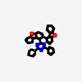 C1=CCC(c2nc(-c3ccccc3)nc(-c3c(-c4cccc5oc6ccccc6c45)ccc4oc5ccccc5c34)n2)C=C1